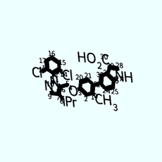 Cc1cc(OCc2c(C(C)C)cnn2-c2c(Cl)cccc2Cl)ccc1-c1ccc2[nH]cc(C(=O)O)c2c1